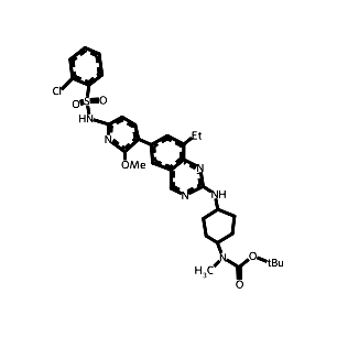 CCc1cc(-c2ccc(NS(=O)(=O)c3ccccc3Cl)nc2OC)cc2cnc(NC3CCC(N(C)C(=O)OC(C)(C)C)CC3)nc12